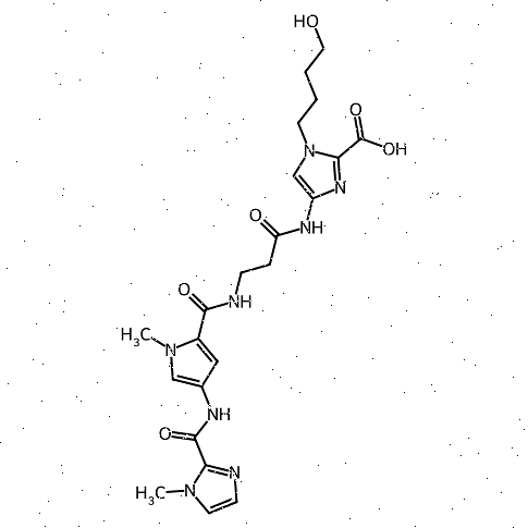 Cn1cc(NC(=O)c2nccn2C)cc1C(=O)NCCC(=O)Nc1cn(CCCCO)c(C(=O)O)n1